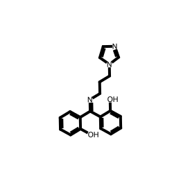 Oc1ccccc1C(=NCCCn1ccnc1)c1ccccc1O